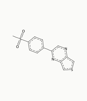 CS(=O)(=O)c1ccc(-c2cnc3cscc3n2)cc1